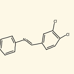 Clc1ccc(C=Nc2ccccc2)cc1Cl